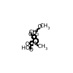 CCC1CCc2cc(OCCCOC)c(OC)cc2-c2cc(=O)c(C(=O)O)cn21